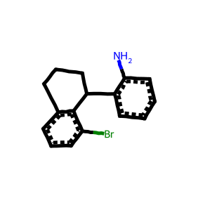 Nc1ccccc1C1CCCc2cccc(Br)c21